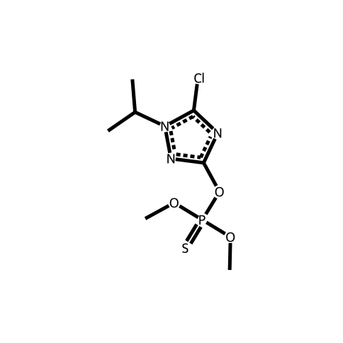 COP(=S)(OC)Oc1nc(Cl)n(C(C)C)n1